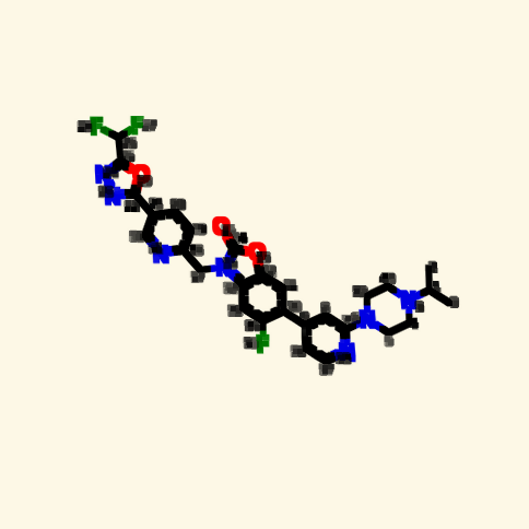 CC(C)N1CCN(c2cc(-c3cc4oc(=O)n(Cc5ccc(-c6nnc(C(F)F)o6)cn5)c4cc3F)ccn2)CC1